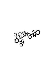 O=C(Cn1cc(CN2C(=O)C(=O)c3cccc([N+](=O)[O-])c32)nn1)c1nc2ccccc2s1